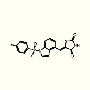 Cc1ccc(S(=O)(=O)n2ccc3c(C=C4SC(=O)NC4=O)cccc32)cc1